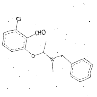 CC(Oc1cccc(Cl)c1C=O)N(C)Cc1ccccc1